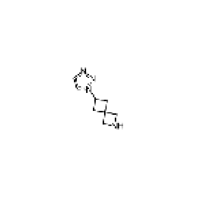 c1cn(C2CC3(CNC3)C2)nn1